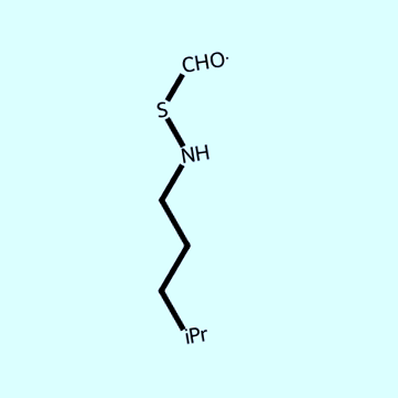 CC(C)CCCNS[C]=O